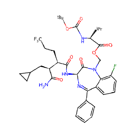 CC(C)[C@H](NC(=O)OC(C)(C)C)C(=O)OCN1C(=O)[C@H](NC(=O)[C@H](CCC(F)(F)F)[C@H](CC2CC2)C(N)=O)N=C(c2ccccc2)c2cccc(F)c21